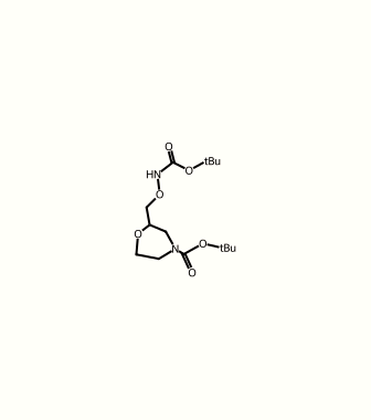 CC(C)(C)OC(=O)NOCC1CN(C(=O)OC(C)(C)C)CCO1